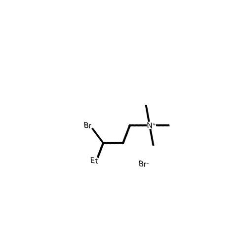 CCC(Br)CC[N+](C)(C)C.[Br-]